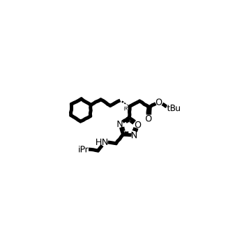 CC(C)CNCc1noc([C@H](CCCC2CCCCC2)CC(=O)OC(C)(C)C)n1